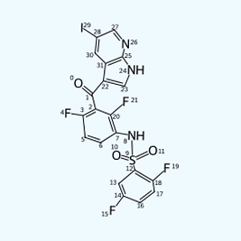 O=C(c1c(F)ccc(NS(=O)(=O)c2cc(F)ccc2F)c1F)c1c[nH]c2ncc(I)cc12